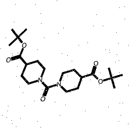 CC(C)(C)OC(=O)C1CCN(C(=O)N2CCC(C(=O)OC(C)(C)C)CC2)CC1